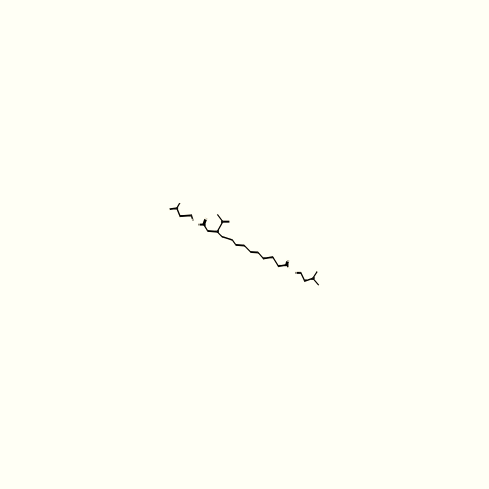 CC(C)CCOC(=O)CCCCCCCCCC(CC(=O)OCCC(C)C)C(C)C